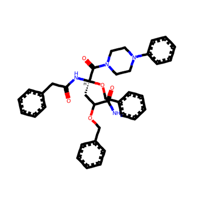 NC(=O)C(C[C@@](NC(=O)Cc1ccccc1)(OCc1ccccc1)C(=O)N1CCN(c2ccccc2)CC1)OCc1ccccc1